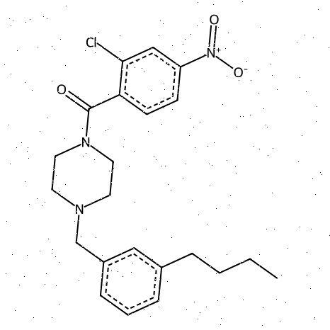 CCCCc1cccc(CN2CCN(C(=O)c3ccc([N+](=O)[O-])cc3Cl)CC2)c1